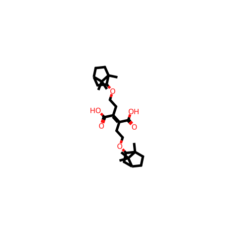 CC1(C)C2CCC1(C)C(OCCC(C(=O)O)=C(CCOC1CC3CCC1(C)C3(C)C)C(=O)O)C2